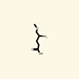 COCC(N)CCC(=O)O